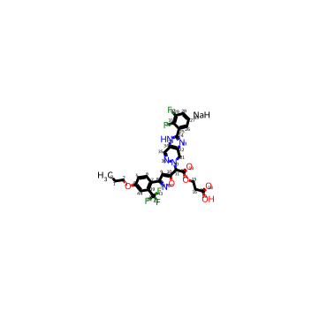 CCCOc1ccc(-c2cc(C(C(=O)OCCC(=O)O)N3Cc4nc(-c5cccc(F)c5F)[nH]c4C=N3)on2)c(C(F)(F)F)c1.[NaH]